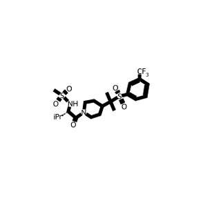 CC(C)[C@H](NS(C)(=O)=O)C(=O)N1CCC(C(C)(C)S(=O)(=O)c2cccc(C(F)(F)F)c2)CC1